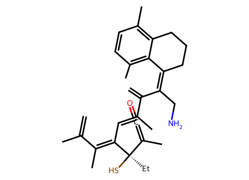 C=C(C)/C(C)=C(\C=C(/C)C(=C)/C(CN)=C1/CCCc2c(C)ccc(C)c21)[C@@](S)(CC)C(C)=C=O